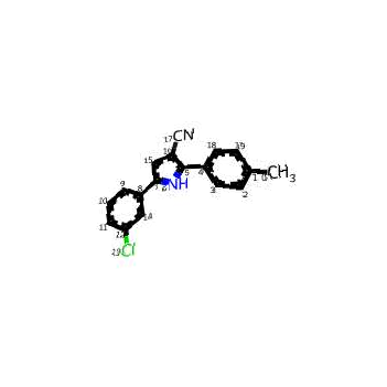 Cc1ccc(-c2[nH]c(-c3cccc(Cl)c3)cc2C#N)cc1